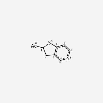 CC(=O)C1Cc2cnccc2S1